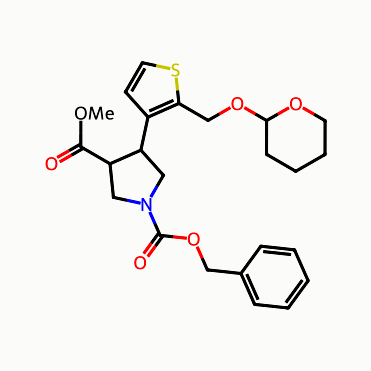 COC(=O)C1CN(C(=O)OCc2ccccc2)CC1c1ccsc1COC1CCCCO1